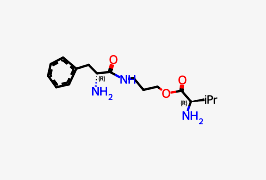 CC(C)[C@@H](N)C(=O)OCCCNC(=O)[C@H](N)Cc1ccccc1